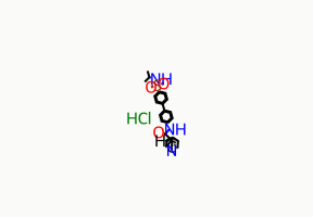 CC(C)NS(=O)(=O)c1ccc(-c2ccc(NC(=O)[C@H]3CN4CCC3CC4)cc2)cc1.Cl